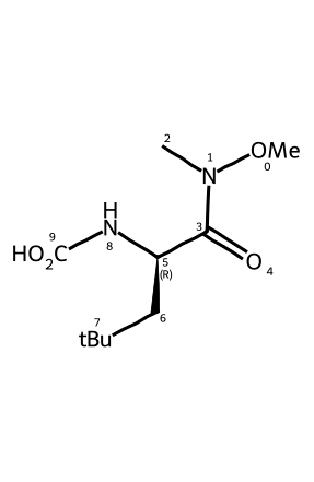 CON(C)C(=O)[C@@H](CC(C)(C)C)NC(=O)O